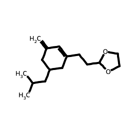 C=C1C=C(CCC2OCCO2)CC(CC(C)C)C1